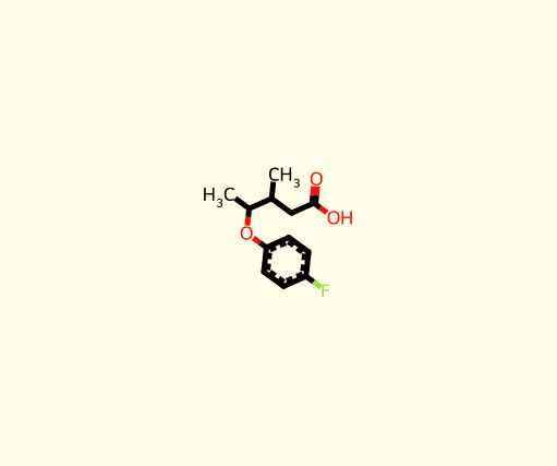 CC(CC(=O)O)C(C)Oc1ccc(F)cc1